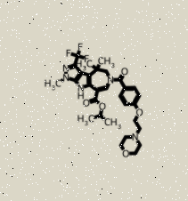 CC(C)OC(=O)C1=CN(C(=O)c2ccc(OCCN3CCOCC3)cc2)CC(C)(C)c2c1[nH]c1c2c(C(F)(F)F)nn1C